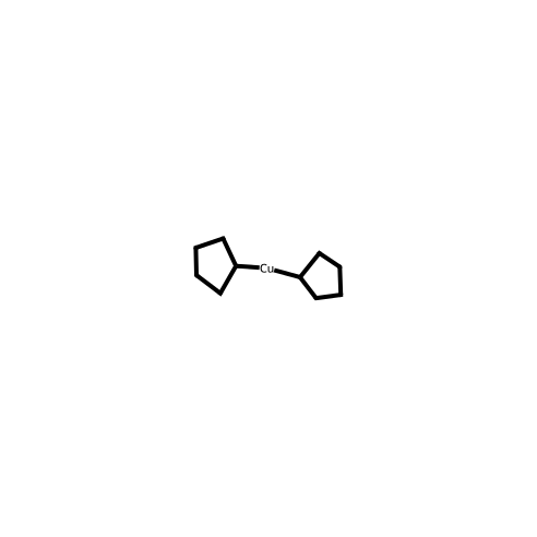 C1CC[CH]([Cu][CH]2CCCC2)C1